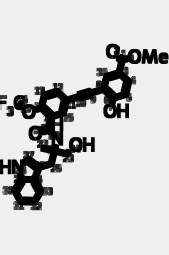 COC(=O)c1ccc(O)c(C#Cc2ccc(OC(F)(F)F)c(C(=O)NC(C)(CO)Cc3c[nH]c4ccccc34)c2)c1